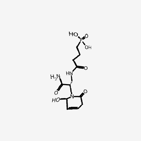 NC(=O)[C@H](CNC(=O)CCCP(=O)(O)O)N1C(=O)CC=CC1O